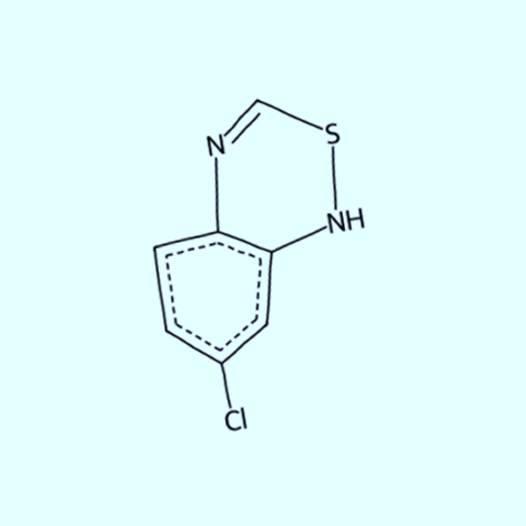 Clc1ccc2c(c1)NSC=N2